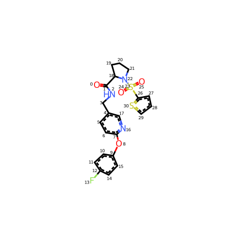 O=C(NCc1ccc(Oc2ccc(F)cc2)nc1)C1CCCN1S(=O)(=O)c1cccs1